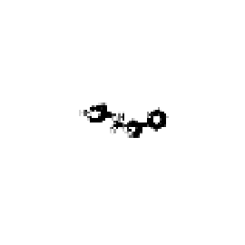 O=C(NC1CC2CC1CN2)n1cc(-c2ccccn2)cn1